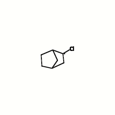 Cl[C]1CC2CCC1C2